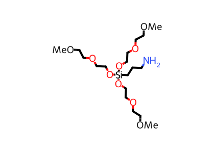 COCCOCCO[Si](CCCN)(OCCOCCOC)OCCOCCOC